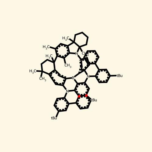 Cc1cc2c3c(C)c1C1(C)CCC(C)(C)c4cc5c(cc41)B1c4cc(ccc4N(c4ccc(C(C)(C)C)cc4-c4ccccc4)c4cc(C(C)(C)C)cc(c41)N5c1ccc(C(C)(C)C)cc1-c1ccccc1)N3C1(C)CCCCC21C